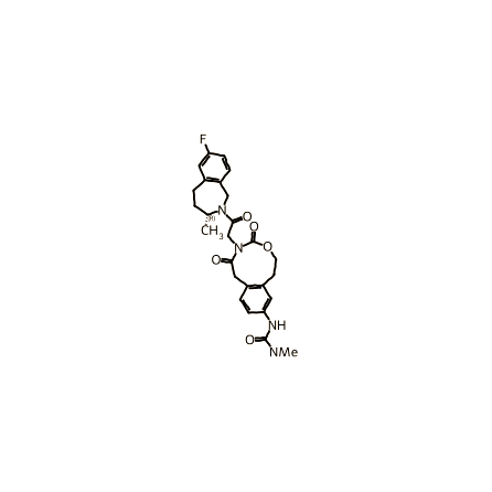 CNC(=O)Nc1ccc2c(c1)CCOC(=O)N(CC(=O)N1Cc3ccc(F)cc3CC[C@H]1C)C(=O)C2